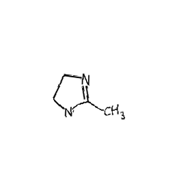 CC1=NCC[N]1